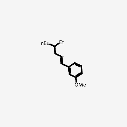 CCCCC(CC)C[C]=Cc1[c]ccc(OC)c1